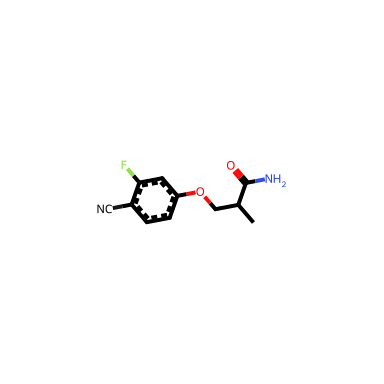 CC(COc1ccc(C#N)c(F)c1)C(N)=O